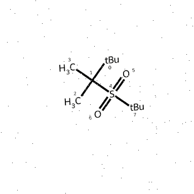 CC(C)(C)C(C)(C)S(=O)(=O)C(C)(C)C